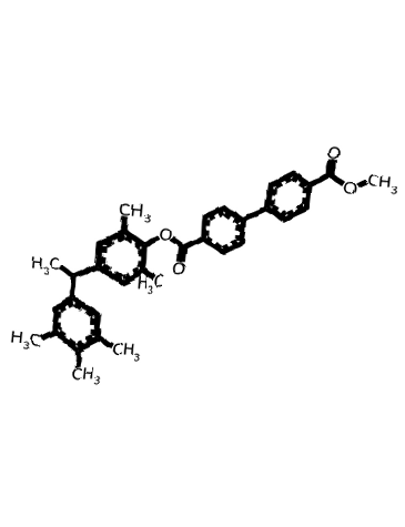 COC(=O)c1ccc(-c2ccc(C(=O)Oc3c(C)cc(C(C)c4cc(C)c(C)c(C)c4)cc3C)cc2)cc1